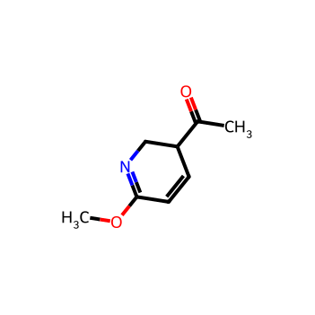 COC1=NCC(C(C)=O)C=C1